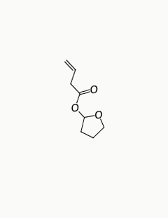 C=CCC(=O)OC1CCCO1